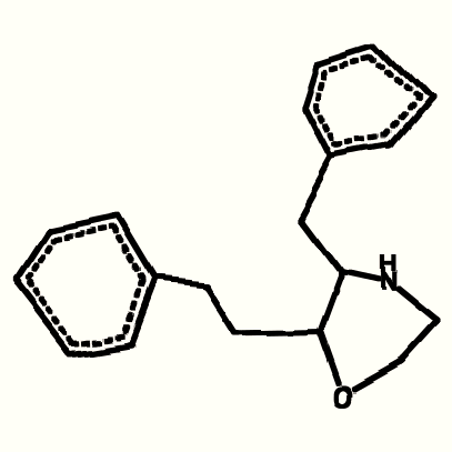 c1ccc(CCC2OCCNC2Cc2ccccc2)cc1